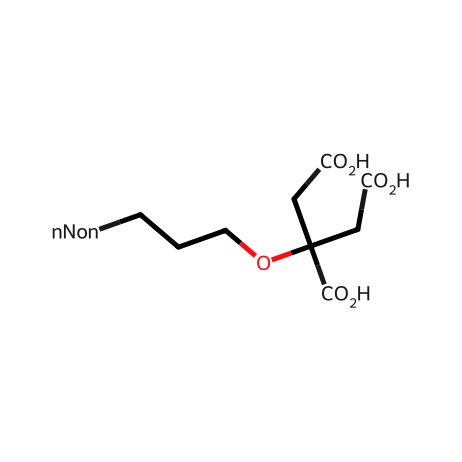 CCCCCCCCCCCCOC(CC(=O)O)(CC(=O)O)C(=O)O